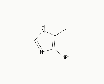 Cc1[nH]cnc1C(C)C